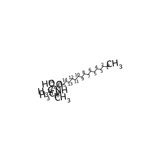 CCCCCCCCCCCCCCCCOC(NC(C)C)C(C)O